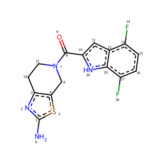 Nc1nc2c(s1)CN(C(=O)c1cc3c(F)ccc(F)c3[nH]1)CC2